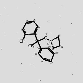 Clc1ccccc1C(Cl)(ON1CCC1)c1ccccc1